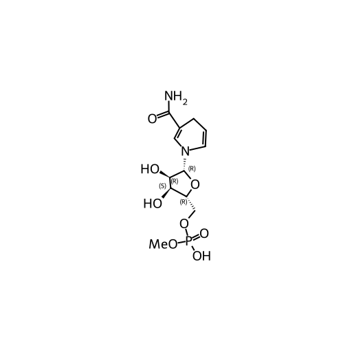 COP(=O)(O)OC[C@H]1O[C@@H](N2C=CCC(C(N)=O)=C2)[C@H](O)[C@@H]1O